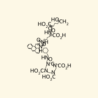 C=C(O)CCC[C@@H](OC(=O)N[C@@H](CCCCNC(=O)[C@H](Cc1c2ccccc2cc2ccccc12)NC(=O)[C@H]1CC[C@H](CNC(=O)CN2CCN(CC(=O)O)CCN(CC(=O)O)CCN(CC(=O)O)CC2)CC1)C(=O)O)C(=O)O